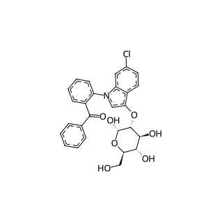 O=C(c1ccccc1)c1ccccc1-n1cc(O[C@@H]2[C@@H](O)[C@H](O)[C@@H](CO)O[C@@H]2O)c2ccc(Cl)cc21